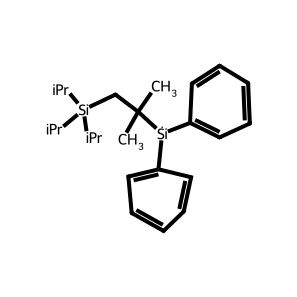 CC(C)[Si](CC(C)(C)[Si](c1ccccc1)c1ccccc1)(C(C)C)C(C)C